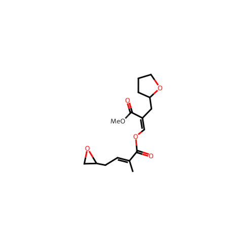 COC(=O)C(=COC(=O)C(C)=CCC1CO1)CC1CCCO1